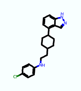 Clc1ccc(NCCC2CCC(c3cccc4[nH]ncc34)CC2)cc1